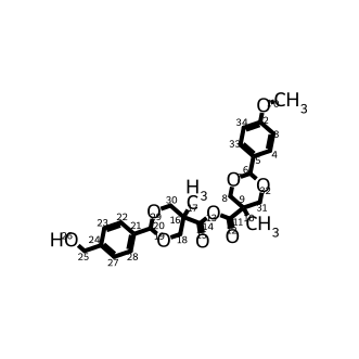 COc1ccc(C2OCC(C)(C(=O)OC(=O)C3(C)COC(c4ccc(CO)cc4)OC3)CO2)cc1